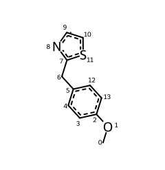 COc1ccc(Cc2n[c]cs2)cc1